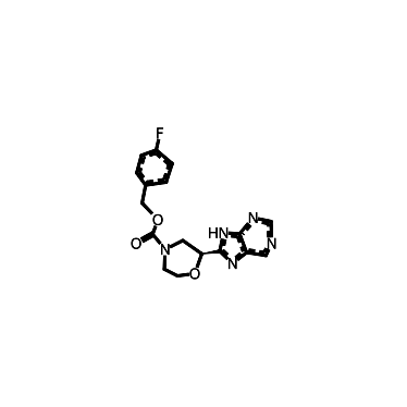 O=C(OCc1ccc(F)cc1)N1CCO[C@H](c2nc3cncnc3[nH]2)C1